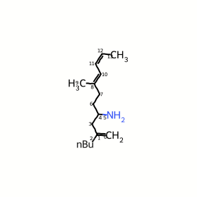 C=C(CCCC)CC(N)CC/C(C)=C/C=C\C